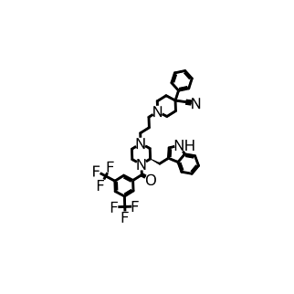 N#CC1(c2ccccc2)CCN(CCCN2CCN(C(=O)c3cc(C(F)(F)F)cc(C(F)(F)F)c3)[C@H](Cc3c[nH]c4ccccc34)C2)CC1